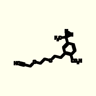 C#CCOCCOCCc1cc(C2(C(F)(F)F)N=N2)ccc1C(=O)O